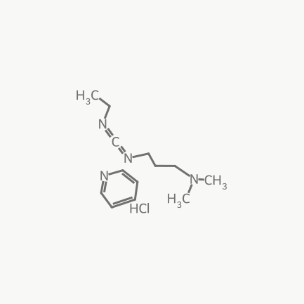 CCN=C=NCCCN(C)C.Cl.c1ccncc1